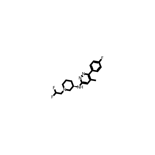 Cc1cc(N[C@@H]2CCCN(CC(F)F)C2)nnc1-c1ccc(F)cc1